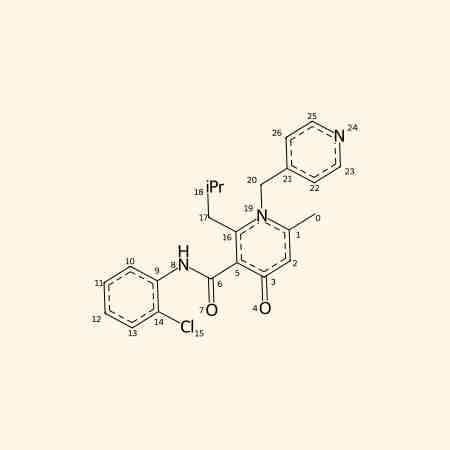 Cc1cc(=O)c(C(=O)Nc2ccccc2Cl)c(CC(C)C)n1Cc1ccncc1